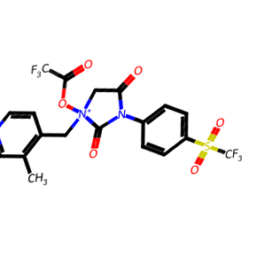 Cc1cnccc1C[N+]1(OC(=O)C(F)(F)F)CC(=O)N(c2ccc(S(=O)(=O)C(F)(F)F)cc2)C1=O